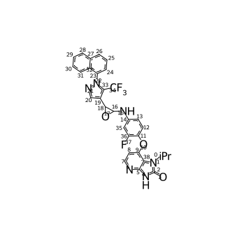 CC(C)n1c(=O)[nH]c2nccc(Oc3ccc(NC4OC4c4cnn(-c5cccc6ccccc56)c4C(F)(F)F)cc3F)c21